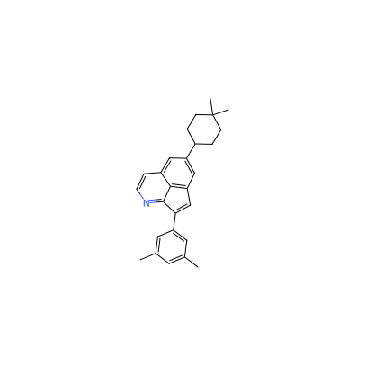 Cc1cc(C)cc(C2=Cc3cc(C4CCC(C)(C)CC4)cc4ccnc2c34)c1